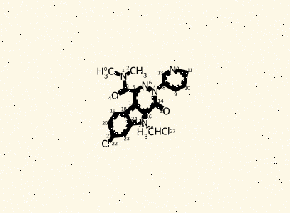 CN(C)C(=O)c1nn(-c2cccnc2)c(=O)c2c1c1ccc(Cl)cc1n2C.Cl